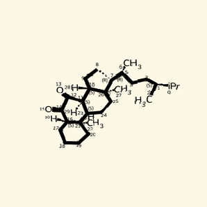 CC(C)[C@@H](C)CC[C@@H](C)[C@H]1CC[C@H]2[C@@H]3C(=O)C(=O)[C@H]4CCCC[C@]4(C)[C@H]3CC[C@]12C